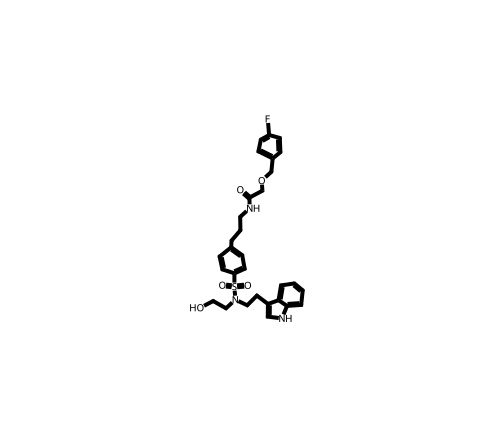 O=C(COCc1ccc(F)cc1)NCCCc1ccc(S(=O)(=O)N(CCO)CCc2c[nH]c3ccccc23)cc1